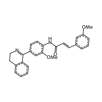 COc1cccc(C=CC(=O)Nc2ccc(C3=NCCc4ccccc43)cc2OC)c1